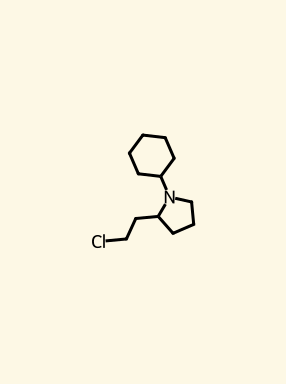 ClCCC1CCCN1C1CCCCC1